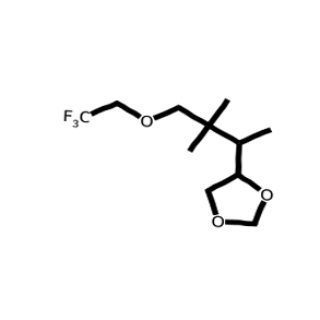 CC(C1COCO1)C(C)(C)COCC(F)(F)F